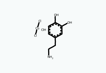 Cl.NCCc1ccc(O)c(O)c1.[Cl][Cu][Cl]